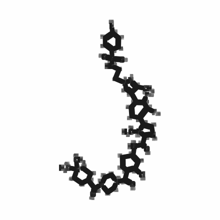 Cc1nn(CCNS(=O)(=O)c2ccc(F)cc2)cc1-c1ccc(-c2cnc(C(=O)Nc3ccc(C(=O)N4CCN(C(=O)C5CC[N+](C)(C)CC5)CC4)c(Cl)c3)n2C)c(F)c1F